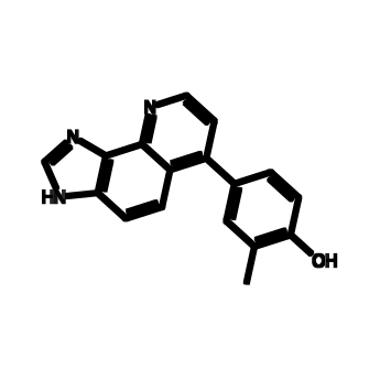 Cc1cc(-c2ccnc3c2ccc2[nH]cnc23)ccc1O